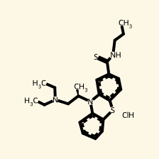 CCCNC(=S)c1ccc2c(c1)N([C@H](C)CN(CC)CC)c1ccccc1S2.Cl